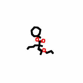 CCCCC(C)(/C=C(/C)OCCC)C(=O)OC1(C)CCCCCCC1